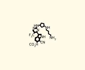 N#Cc1c(C(=O)O)ccc2c(-c3nc(N[C@H]4CC[C@H](NCCCCN)C4)ncc3C(F)(F)F)c[nH]c12